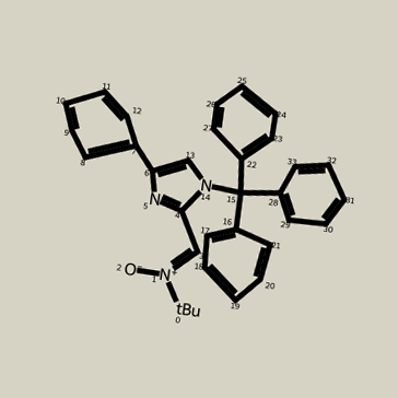 CC(C)(C)/[N+]([O-])=C/c1nc(-c2ccccc2)cn1C(c1ccccc1)(c1ccccc1)c1ccccc1